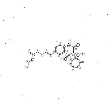 C=C(CCC=Cc1ccc2c(c1)C(O)(c1ccccc1)C(OC)C(=O)N2)OCC